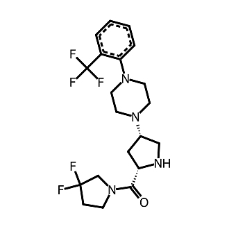 O=C([C@@H]1C[C@H](N2CCN(c3ccccc3C(F)(F)F)CC2)CN1)N1CCC(F)(F)C1